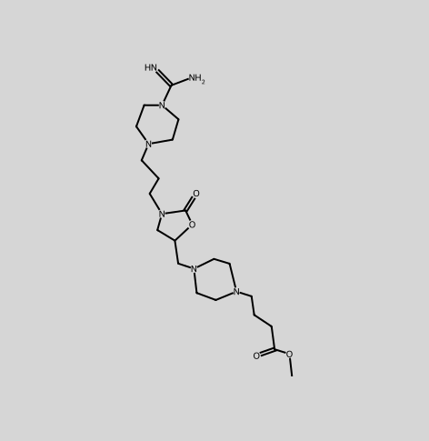 COC(=O)CCCN1CCN(CC2CN(CCCN3CCN(C(=N)N)CC3)C(=O)O2)CC1